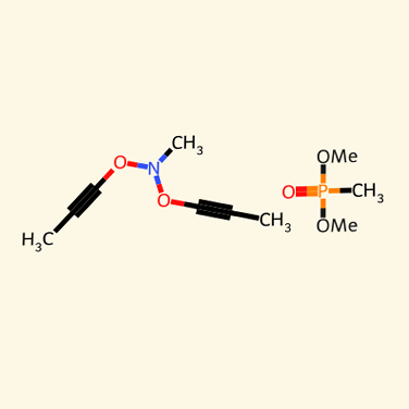 CC#CON(C)OC#CC.COP(C)(=O)OC